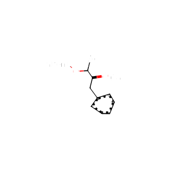 CCCCCOC(C(C)=O)C(=O)Cc1ccccc1.[Co]